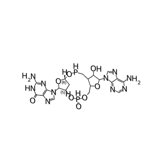 Nc1nc2c(ncn2C2O[C@H]3C[C@@H]2O[PH](=O)OCC2OC(n4cnc5c(N)ncnc54)C(O)C2CPO3)c(=O)[nH]1